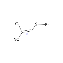 CCS/C=C(\Cl)C#N